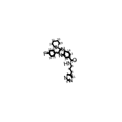 O=C(NCCCc1cncnc1)c1ccc2nc(N3CCCCC3)c(-c3ccc(F)cc3)nc2c1